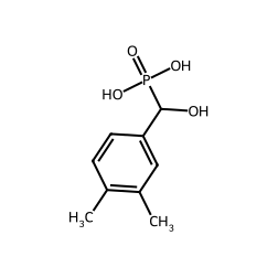 Cc1ccc(C(O)P(=O)(O)O)cc1C